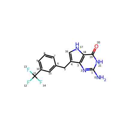 Nc1nc2c(Cc3cccc(C(F)(F)F)c3)c[nH]c2c(=O)[nH]1